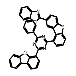 c1ccc(-c2nc(-c3cccc4c3oc3ccccc34)nc(-c3cccc4sc5ccc(-c6nc7ccccc7o6)cc5c34)n2)cc1